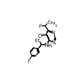 CCC(Nc1ncnc(C(C)F)c1Cl)c1ccc(F)cc1